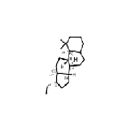 CC[C@H]1CC[C@H]2[C@@H]3CCC4CCCC(C)(C)[C@]4(C)[C@H]3CC[C@]12C